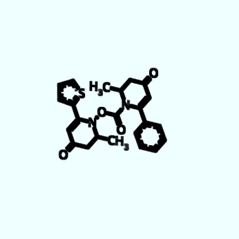 CC1CC(=O)C=C(c2cccs2)N1OC(=O)N1C(c2ccccc2)=CC(=O)CC1C